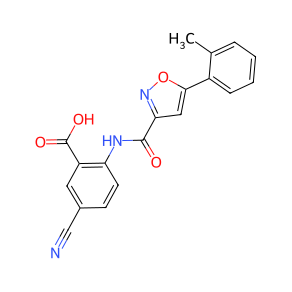 Cc1ccccc1-c1cc(C(=O)Nc2ccc(C#N)cc2C(=O)O)no1